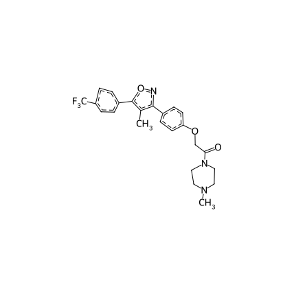 Cc1c(-c2ccc(OCC(=O)N3CCN(C)CC3)cc2)noc1-c1ccc(C(F)(F)F)cc1